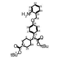 CC(C)(C)OC(=O)N1CCC(N(C(=O)OC(C)(C)C)c2ccc(OCc3ccccc3N)cc2)CC1